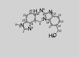 Cn1cnc2c(Cn3c(N)nc4ccc(CO)cc43)cccc21